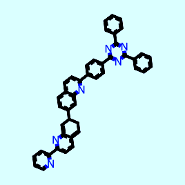 C1=c2ccc(-c3ccccn3)nc2=CC(c2ccc3ccc(-c4ccc(-c5nc(-c6ccccc6)nc(-c6ccccc6)n5)cc4)nc3c2)C1